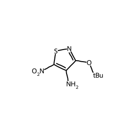 CC(C)(C)Oc1nsc([N+](=O)[O-])c1N